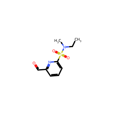 CCN(C)S(=O)(=O)c1cccc(C=O)n1